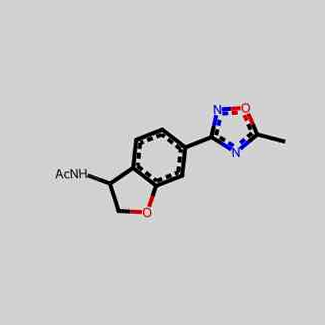 CC(=O)NC1COc2cc(-c3noc(C)n3)ccc21